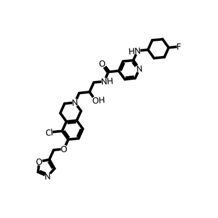 O=C(NCC(O)CN1CCc2c(ccc(OCc3cnco3)c2Cl)C1)c1ccnc(NC2CCC(F)CC2)c1